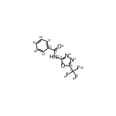 O=C(Nc1nnc(C(F)(F)F)o1)c1ccccc1